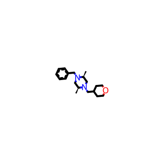 C[C@H]1CN(CC2CCOCC2)[C@@H](C)CN1Cc1ccccc1